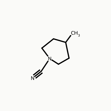 CC1CCN(C#N)CC1